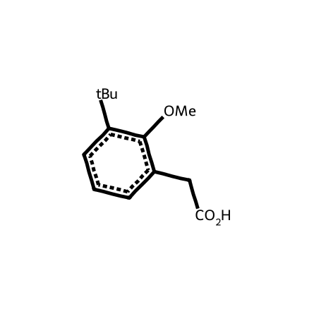 COc1c(CC(=O)O)cccc1C(C)(C)C